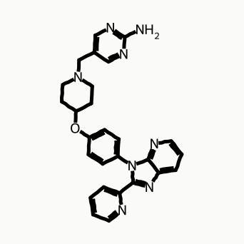 Nc1ncc(CN2CCC(Oc3ccc(-n4c(-c5ccccn5)nc5cccnc54)cc3)CC2)cn1